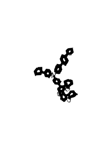 c1ccc(-c2ccc(-c3ccc(N(c4ccc(-c5ccccc5)cc4)c4ccc(-c5cc6oc7ccc8oc9ccccc9c8c7c6c6oc7ccccc7c56)cc4)cc3)cc2)cc1